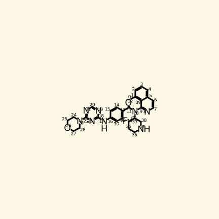 Cc1cccc2ccnc(N(C(=O)c3ccc(Nc4ncnc(N5CCOCC5)n4)cc3F)[C@@H]3CCCNC3)c12